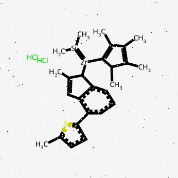 CC1=Cc2c(-c3ccc(C)s3)cccc2[CH]1[Zr]([C]1=C(C)C(C)=C(C)C1C)=[Si](C)C.Cl.Cl